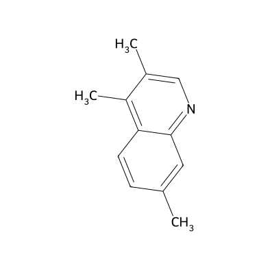 Cc1ccc2c(C)c(C)cnc2c1